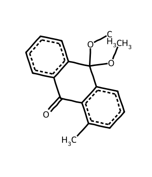 COC1(OC)c2ccccc2C(=O)c2c(C)cccc21